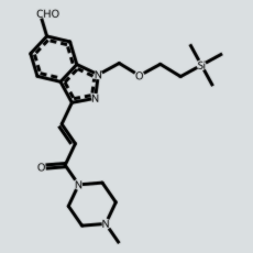 CN1CCN(C(=O)/C=C/c2nn(COCC[Si](C)(C)C)c3cc(C=O)ccc23)CC1